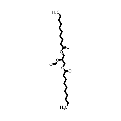 CCCCCCCCCC(=O)OCC(COC(=O)CCCCCCCCC)O[C]=O